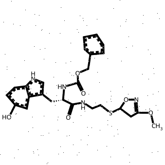 COC1=NOC(SCCNC(=O)[C@H](Cc2c[nH]c3ccc(O)cc23)NC(=O)OCc2ccccc2)C1